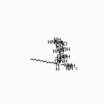 CCCCCCCCCCCCCCCC(=O)N[C@@H](CCCNC(=N)N)C(=O)N[C@@H](CO)C(=O)N[C@H](C(=O)N[C@@H](CCCNC(=N)N)C(=O)N[C@@H](CO)C(=O)NC)[C@@H](C)CC